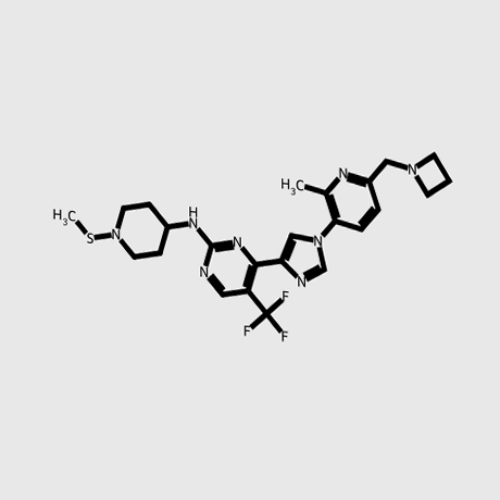 CSN1CCC(Nc2ncc(C(F)(F)F)c(-c3cn(-c4ccc(CN5CCC5)nc4C)cn3)n2)CC1